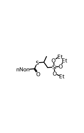 CCCCCCCCCC(=O)SC(C)C[Si](OCC)(OCC)OCC